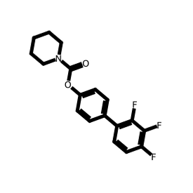 O=C(Oc1ccc(-c2ccc(F)c(F)c2F)cc1)N1CCCCC1